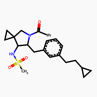 CC(C)C(=O)N1CC2(CC2)C(NS(C)(=O)=O)C1Cc1cccc(CCC2CC2)c1